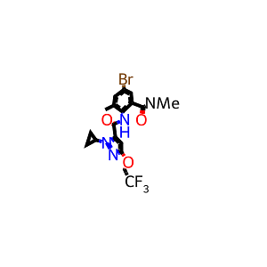 CNC(=O)c1cc(Br)cc(C)c1NC(=O)c1cc(OCC(F)(F)F)nn1C1CC1